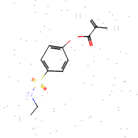 C=C(C)C(=O)Oc1ccc(S(=O)(=O)NCC)cc1